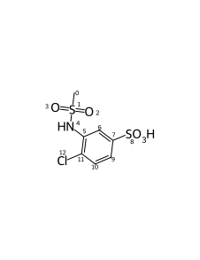 CS(=O)(=O)Nc1cc(S(=O)(=O)O)ccc1Cl